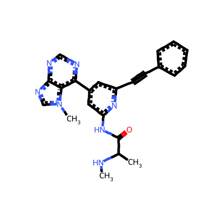 CNC(C)C(=O)Nc1cc(-c2ncnc3ncn(C)c23)cc(C#Cc2ccccc2)n1